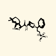 CCS(=O)(=O)NCCC(c1ccccc1)n1cc(NC(=O)c2n[nH]c3c2CCC(C)(C)C3)cn1